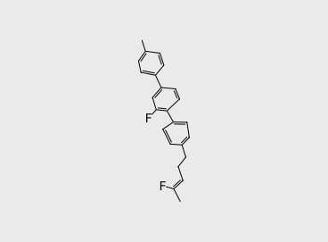 C/C(F)=C/CCc1ccc(-c2ccc(-c3ccc(C)cc3)cc2F)cc1